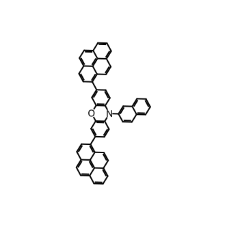 c1ccc2cc(N3c4ccc(-c5ccc6ccc7cccc8ccc5c6c78)cc4Oc4cc(-c5ccc6ccc7cccc8ccc5c6c78)ccc43)ccc2c1